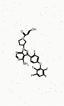 Nc1ncnc2c1c(-c1ccc(Oc3c(F)c(F)cc(F)c3F)cc1F)nn2C1CCN(C(=O)/C=C/O)C1